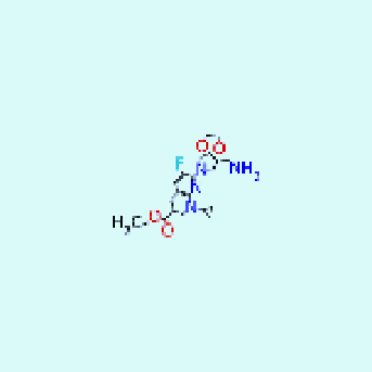 CCOC(=O)C1=Cc2cc(F)c(N3CC(CN)C4(C3)OCCO4)nc2N(C2CC2)C1